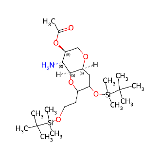 CC(=O)O[C@H]1CO[C@H]2CC(O[Si](C)(C)C(C)(C)C)C(CCO[Si](C)(C)C(C)(C)C)O[C@H]2[C@@H]1N